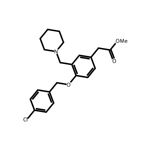 COC(=O)Cc1ccc(OCc2ccc(Cl)cc2)c(CN2CCCCC2)c1